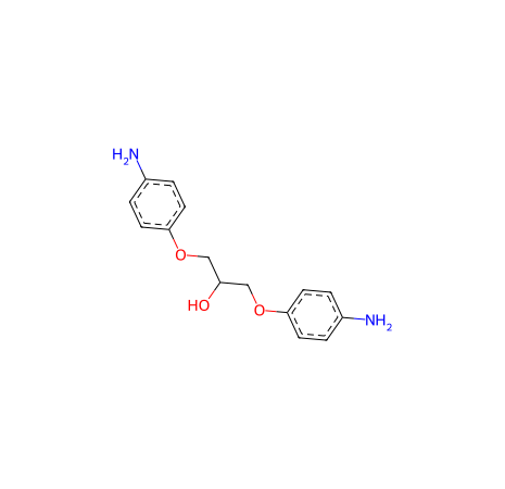 Nc1ccc(OCC(O)COc2ccc(N)cc2)cc1